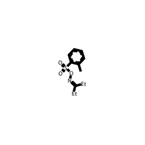 CCC(CC)=NOS(=O)(=O)c1ccccc1C